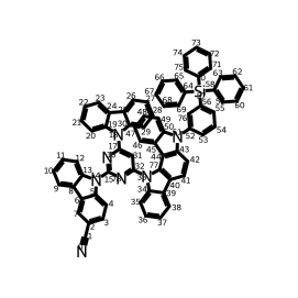 N#Cc1ccc2c(c1)c1ccccc1n2-c1nc(-n2c3ccccc3c3ccccc32)cc(-n2c3ccccc3c3ccc4c(c5ccccc5n4-c4cccc([Si](c5ccccc5)(c5ccccc5)c5ccccc5)c4)c32)n1